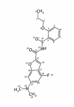 CCCOc1ccccc1[S+]([O-])NC(=O)c1cc2c(F)cc(N(C)C)cc2o1